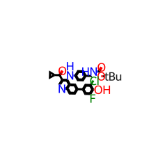 CC(C)(C)OC(=O)NCc1ccc(Nc2c(C(=O)C3CC3)cnc3ccc(-c4cc(F)c(O)c(Cl)c4)cc23)cc1